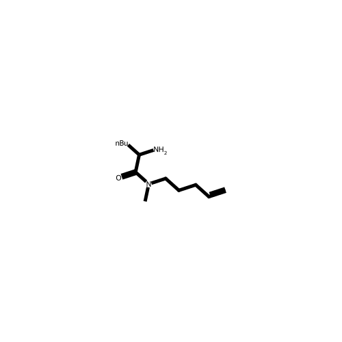 C=CCCCN(C)C(=O)C(N)CCCC